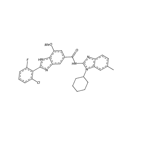 COc1cc(C(=O)Nc2nc3ccc(C)cc3n2C2CCCCC2)cc2nc(-c3c(F)cccc3Cl)[nH]c12